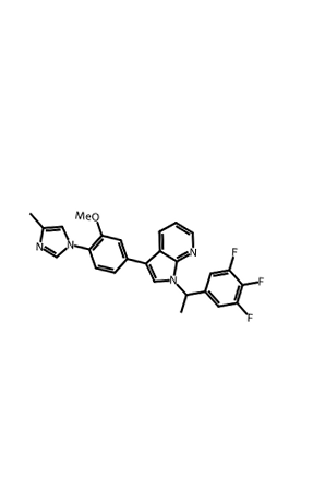 COc1cc(-c2cn(C(C)c3cc(F)c(F)c(F)c3)c3ncccc23)ccc1-n1cnc(C)c1